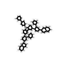 c1ccc(-c2ccc(-n3c4ccc(-c5ccc(-c6ccc7ccccc7c6)cc5-c5ccccc5)cc4c4cc(-c5ccc(-c6ccc7ccccc7c6)cc5-c5ccccc5)ccc43)cc2)cc1